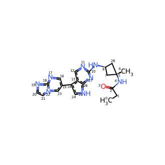 CCC(=O)N[C@]1(C)C[C@@H](Nc2ncc3c(-c4cnc5nccn5c4)c[nH]c3n2)C1